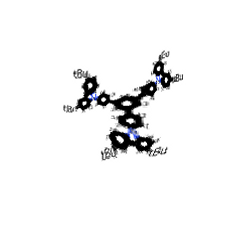 CC(C)(C)c1ccc2c(c1)c1cc(C(C)(C)C)ccc1n2-c1ccc(-c2cc(-c3ccc(-n4c5ccc(C(C)(C)C)cc5c5cc(C(C)(C)C)ccc54)cc3)cc(-c3ccc(-n4c5ccc(C(C)(C)C)cc5c5cc(C(C)(C)C)ccc54)cc3)c2)cc1